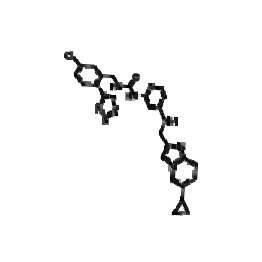 O=C(NCc1cc(Cl)ccc1-n1cnnn1)Nc1cc(NCc2cn3cc(C4CC4)ccc3n2)ccn1